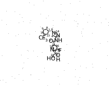 O=C(Nc1cn(Cc2cccc(C(F)(F)F)c2)cn1)c1cnc(C(O)CO)c(F)c1